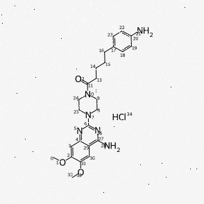 COc1cc2nc(N3CCN(C(=O)CCCCc4ccc(N)cc4)CC3)nc(N)c2cc1OC.Cl